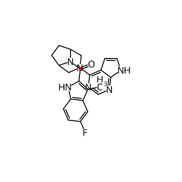 Cc1c(C(=O)N2C3CCC2CN(c2ncnc4[nH]ccc24)C3)[nH]c2ccc(F)cc12